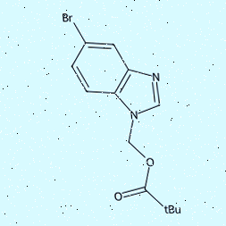 CC(C)(C)C(=O)OCn1cnc2cc(Br)ccc21